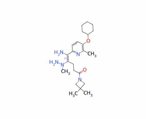 Cc1nc(/C(N)=C(\CCC(=O)N2CC(C)(C)C2)N(C)N)ccc1OC1CCCCC1